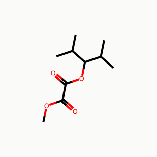 COC(=O)C(=O)OC(C(C)C)C(C)C